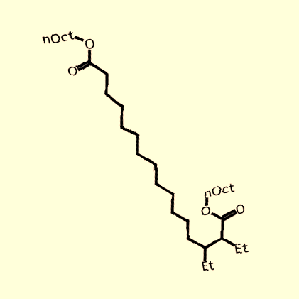 CCCCCCCCOC(=O)CCCCCCCCCCCCC(CC)C(CC)C(=O)OCCCCCCCC